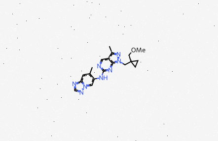 COCC1(Cn2nc(C)c3cnc(Nc4cn5ncnc5cc4C)nc32)CC1